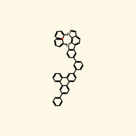 c1ccc(-c2ccc3c4ccc(-c5cccc(-c6ccc7c(c6)c6ccc8ccn(-c9ccccc9)c8c6n7-c6ccccc6)c5)cc4c4ccccc4c3c2)cc1